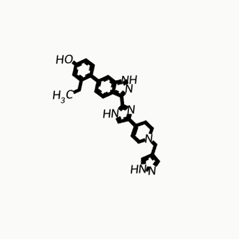 CCc1cc(O)ccc1-c1ccc2c(-c3nc(C4=CCN(Cc5cn[nH]c5)CC4)c[nH]3)n[nH]c2c1